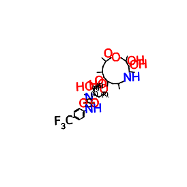 CC1CNC(C)C(O)C(C)(O)COC(=O)C(C)CC(C)C(O[C@@H]2O[C@H](C)C[C@H](N(C)S(=O)(=O)Nc3ccc(C(F)(F)F)cc3)[C@H]2O)C(C)(O)C1